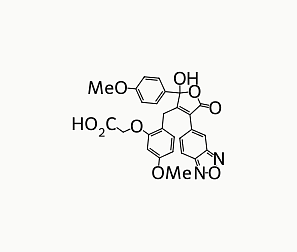 COc1ccc(C2(O)OC(=O)C(c3ccc4nonc4c3)=C2Cc2ccc(OC)cc2OCC(=O)O)cc1